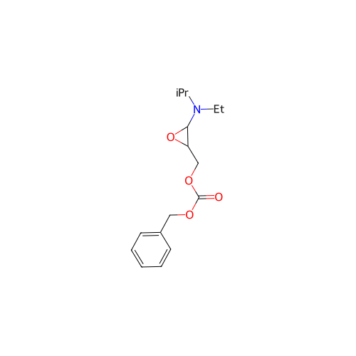 CCN(C(C)C)C1OC1COC(=O)OCc1ccccc1